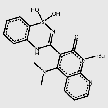 CCCCn1c(=O)c(C2=NS(O)(O)c3ccccc3N2)c(N(C)C)c2cccnc21